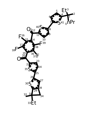 CCCC(C)(CC)c1ccc(-c2ccc(C(=O)c3c(F)c(F)c(C(=O)c4ccc(-c5cc6c(s5)C(C)(CC)C6)s4)c(F)c3F)s2)s1